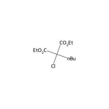 CCCCC(Cl)(C(=O)OCC)C(=O)OCC